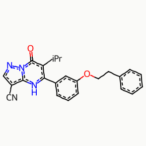 CC(C)c1c(-c2cccc(OCCc3ccccc3)c2)[nH]c2c(C#N)cnn2c1=O